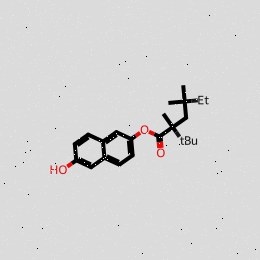 CCC(C)(C)CC(C)(C(=O)Oc1ccc2cc(O)ccc2c1)C(C)(C)C